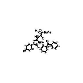 CN[C@@H](C)C(=O)Nc1cn(-c2ccc(F)cc2)n(Cc2cccc(C(=O)c3ccccc3)c2)c1=O